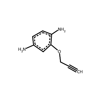 C#CCOc1cc(N)ccc1N